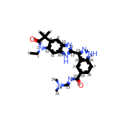 CCN1C(=O)C(C)(C)c2cc3nc(-c4n[nH]c5ccc(C(=O)N=CN(C)C)cc45)[nH]c3cc21